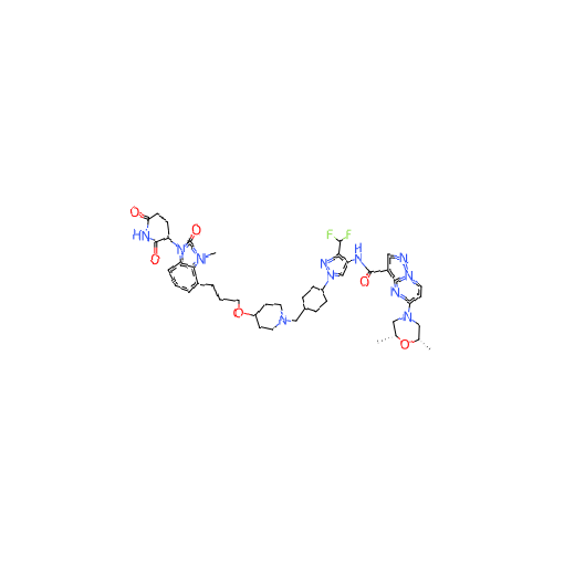 C[C@@H]1CN(c2ccn3ncc(C(=O)Nc4cn(C5CCC(CN6CCC(OCCCc7cccc8c7n(C)c(=O)n8C7CCC(=O)NC7=O)CC6)CC5)nc4C(F)F)c3n2)C[C@H](C)O1